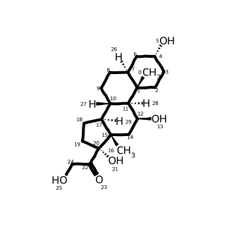 C[C@]12CC[C@@H](O)C[C@@H]1CC[C@@H]1[C@@H]2[C@@H](O)C[C@@]2(C)[C@H]1CC[C@]2(O)C(=O)CO